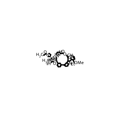 C=CC(=O)N1CC[C@H](C(=O)N(C)C(C(=O)N[C@H]2Cc3cccc(c3)-c3ccc4c(c3)c(c(-c3cnccc3COC)n4CC)CC(C)(C)COC(=O)[C@@H]3CCCN(N3)C2=O)C(C)C)C1